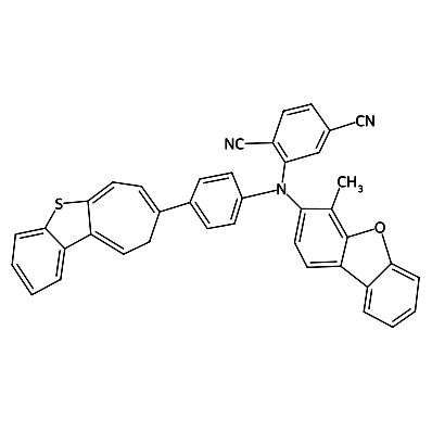 Cc1c(N(c2ccc(C3=CC=c4sc5ccccc5c4=CC3)cc2)c2cc(C#N)ccc2C#N)ccc2c1oc1ccccc12